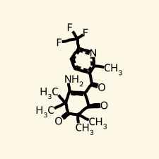 Cc1nc(C(F)(F)F)ccc1C(=O)C1=C(N)C(C)(C)C(=O)C(C)(C)C1=O